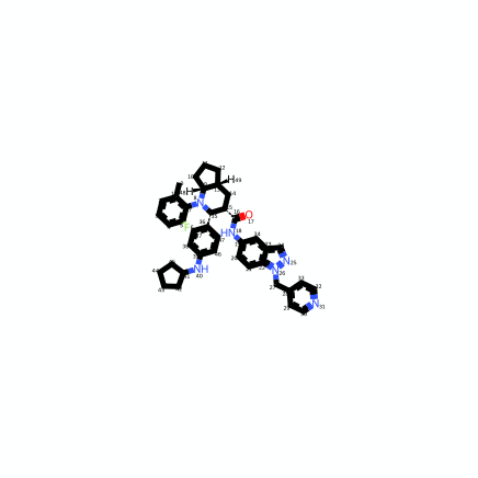 Cc1cccc(F)c1N1[C@@H]2CCC[C@@H]2C[C@H](C(=O)Nc2ccc3c(cnn3Cc3ccncc3)c2)[C@@H]1c1ccc(NC2CCCC2)cc1